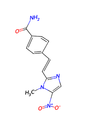 Cn1c([N+](=O)[O-])cnc1C=Cc1ccc(C(N)=O)cc1